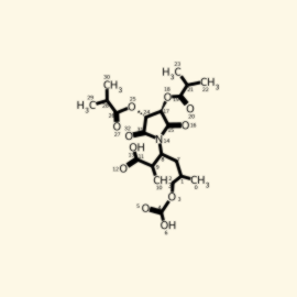 CC(COC(=O)O)CC(C(C)C(=O)O)N1C(=O)[C@H](OC(=O)C(C)C)[C@@H](OC(=O)C(C)C)C1=O